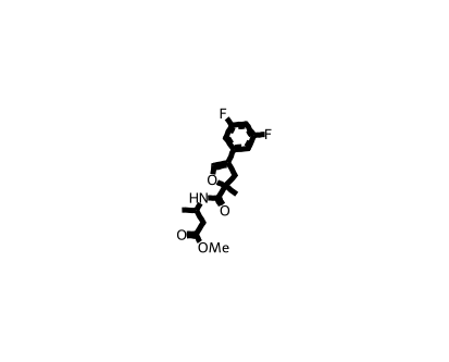 COC(=O)CC(C)NC(=O)C1(C)CC(c2cc(F)cc(F)c2)=CO1